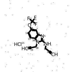 C#CCNc1nc2cc(OC(F)(F)F)ccc2n1CC#C.Cl